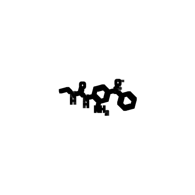 CCNC(=O)Nc1ccc([S+]([O-])c2ccccc2)cc1N